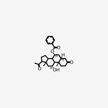 CC(=O)C1CCC2C3C([C@H](O)C[C@]12C)[C@@]1(C)CCC(=O)C[C@H]1C[C@@H]3OC(=O)c1ccccc1